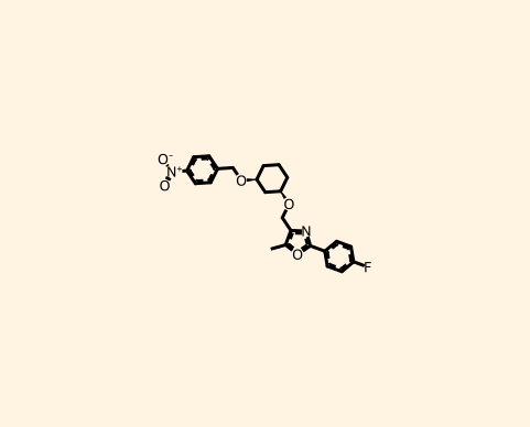 Cc1oc(-c2ccc(F)cc2)nc1CO[C@@H]1CCC[C@H](OCc2ccc([N+](=O)[O-])cc2)C1